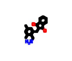 Cc1cc(C)c(CN)c(CC2C(=O)c3ccccc3C2=O)c1